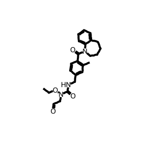 CCON(CC=O)C(=O)NCc1ccc(C(=O)N2CCCCc3ccccc32)c(C)c1